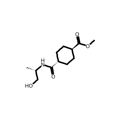 COC(=O)[C@H]1CC[C@H](C(=O)N[C@@H](C)CO)CC1